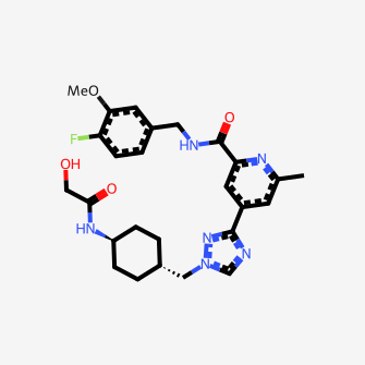 COc1cc(CNC(=O)c2cc(-c3ncn(C[C@H]4CC[C@H](NC(=O)CO)CC4)n3)cc(C)n2)ccc1F